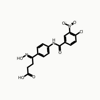 O=C(O)CC/C(=N\O)c1ccc(NC(=O)c2ccc(Cl)c([N+](=O)[O-])c2)cc1